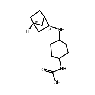 O=C(O)NC1CCC(N[C@H]2C[C@@H]3CCC2C3)CC1